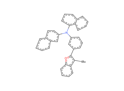 CC(C)(C)c1c(-c2cccc(N(c3ccc4ccccc4c3)c3cccc4ccccc34)c2)oc2ccccc12